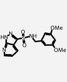 COc1cc(CNS(=O)(=O)c2n[nH]c3ncccc23)cc(OC)c1